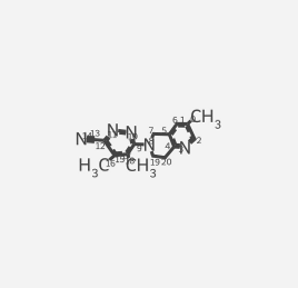 Cc1cnc2c(c1)CN(c1nnc(C#N)c(C)c1C)CC2